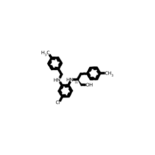 Cc1ccc(CNc2cc(Cl)ccc2N[C@H](CO)Cc2ccc(C)cc2)cc1